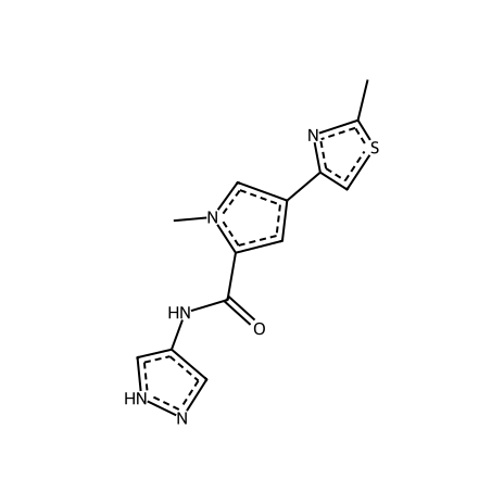 Cc1nc(-c2cc(C(=O)Nc3cn[nH]c3)n(C)c2)cs1